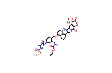 C=CCOC(=O)N(C)Cc1cc(NC(=O)[C@H](C)NC(=O)OC(C)(C)C)ccc1COc1ccc2nc3c(c4c2c1CCC4)Cn1c-3cc2c(c1=O)COC(=O)[C@]2(O)CC